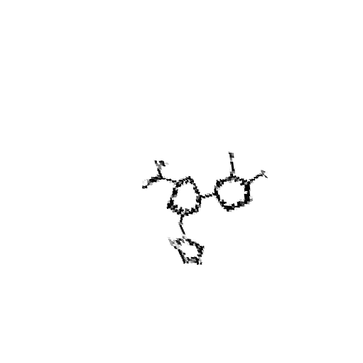 O=C(O)c1cc(-c2ccc(Cl)c(F)c2)cc(-n2cnnn2)c1